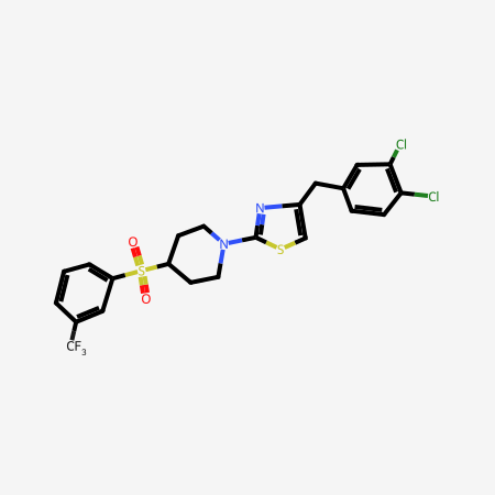 O=S(=O)(c1cccc(C(F)(F)F)c1)C1CCN(c2nc(Cc3ccc(Cl)c(Cl)c3)cs2)CC1